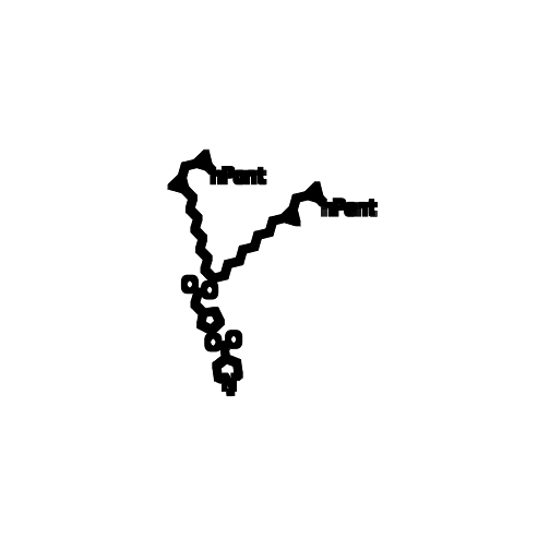 CCCCCC1CC1CC1CC1CCCCCCCCC(CCCCCCCCC1CC1CC1CC1CCCCC)OC(=O)CC1CCC(OC(=O)C2CCN(C)CC2)C1